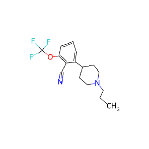 CCCN1CCC(c2cccc(OC(F)(F)F)c2C#N)CC1